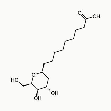 O=C(O)CCCCCCCC[C@H]1C[C@H](O)[C@@H](O)[C@@H](CO)O1